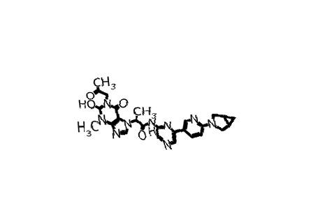 CC(=O)CN1C(=O)c2c(ncn2[C@@H](C)C(=O)Nc2cncc(-c3ccc(N4CC5CC5C4)nc3)n2)N(C)C1O